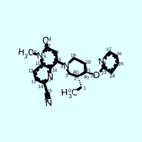 CC[C@@H]1CN(c2cc(=O)n(C)c3ccc(C#N)nc23)CC[C@H]1Oc1ccccn1